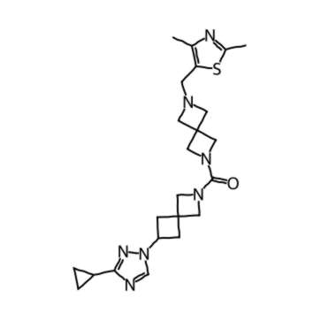 Cc1nc(C)c(CN2CC3(C2)CN(C(=O)N2CC4(CC(n5cnc(C6CC6)n5)C4)C2)C3)s1